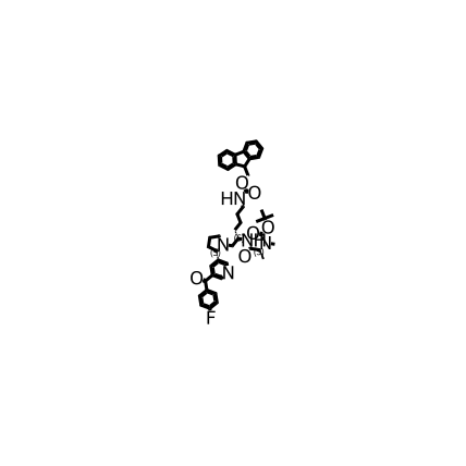 C[C@@H](C(=O)N[C@@H](CCCCNC(=O)OCC1c2ccccc2-c2ccccc21)CN1CCC[C@H]1c1cncc(C(=O)c2ccc(F)cc2)c1)N(C)C(=O)OC(C)(C)C